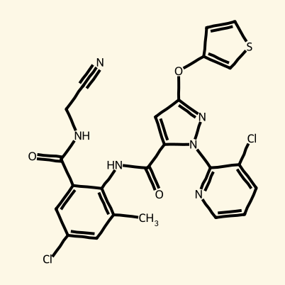 Cc1cc(Cl)cc(C(=O)NCC#N)c1NC(=O)c1cc(Oc2ccsc2)nn1-c1ncccc1Cl